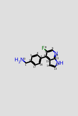 NCc1ccc(-c2c(F)cnc3[nH]ccc23)cc1